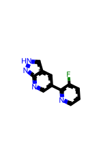 Fc1cccnc1-c1cnc2n[nH]cc2c1